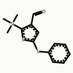 C[Si](C)(C)c1sc(Sc2ccccc2)cc1C=O